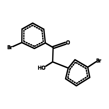 O=C(c1cccc(Br)c1)C(O)c1cccc(Br)c1